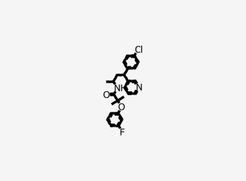 CC(CC(c1ccc(Cl)cc1)c1cccnc1)NC(=O)C(C)(C)Oc1cccc(F)c1